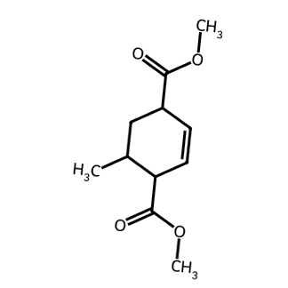 COC(=O)C1C=CC(C(=O)OC)C(C)C1